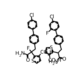 NC(=O)C(Cc1ccc(-c2ccc(Cl)cc2F)cc1)c1sccc1C(=O)O.NC(=O)C(F)(Cc1ccc(-c2ccc(Cl)cc2)cc1)c1sccc1C(=O)O